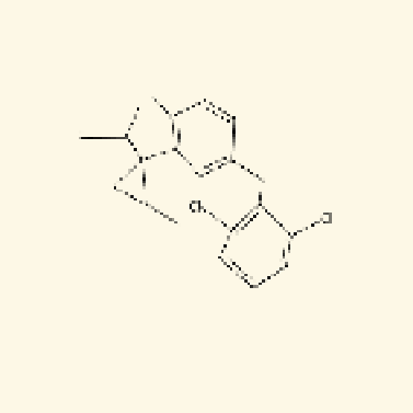 C=C(C)C1(c2cc(Cc3c(Cl)cc(C)cc3Cl)ccc2C)CC1C